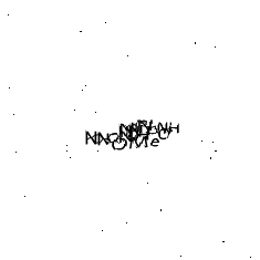 C=CC(=O)Nc1cccc(-n2ccc3cnc(Nc4ccc(N5CCN(C)CC5)cc4OC)nc32)c1